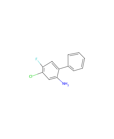 Nc1cc(Cl)c(F)cc1-c1ccccc1